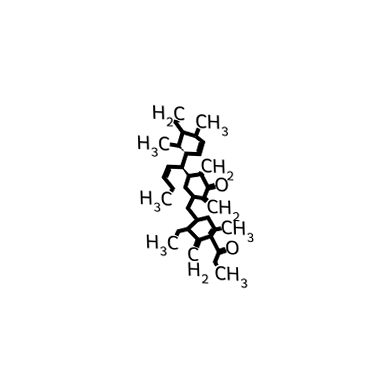 C=CC1C(C)C=C[C@H]([C@H](/C=C\CC)C2CC(CC3CC(C)=C(C(=O)CC)C(=C)C3CC)C(=C)C(=O)C2=C)C1C